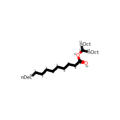 CCCCCCCCCCCCCCCCCCC(=O)OC(CCCCCCCC)CCCCCCCC